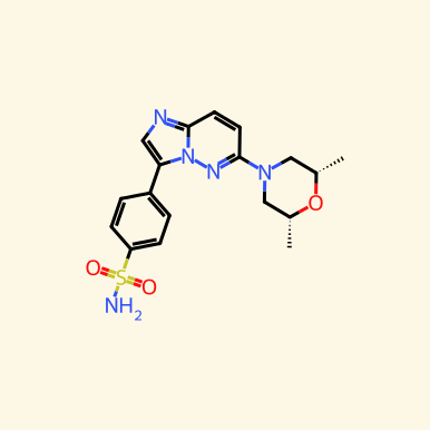 C[C@@H]1CN(c2ccc3ncc(-c4ccc(S(N)(=O)=O)cc4)n3n2)C[C@H](C)O1